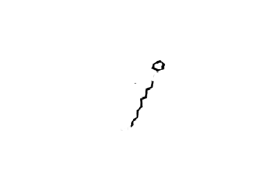 CCCCCCCCC=CCCCCCCCCOc1ccccc1.[K]